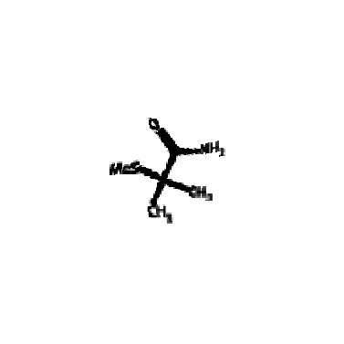 CSC(C)(C)C(N)=O